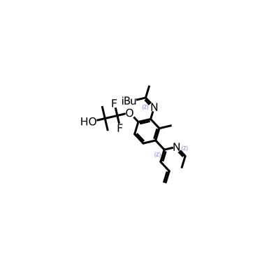 C=C/C=C(\N=C/C)c1ccc(OC(F)(F)C(C)(C)O)c(/N=C(/C)C(C)CC)c1C